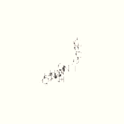 O=C(NCCCOc1cccc(CN2CCCCC2)c1)NNC(=O)NCc1ccccc1